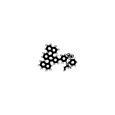 CCc1nc2cccc3c2n1-c1cc(-c2ccc4c(-c5cccc6ccccc56)c5ccccc5c(-c5cccc6ccccc56)c4c2)ccc1S3(=O)=O